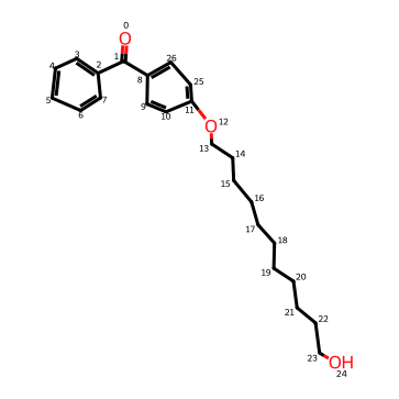 O=C(c1ccccc1)c1ccc(OCCCCCCCCCCCO)cc1